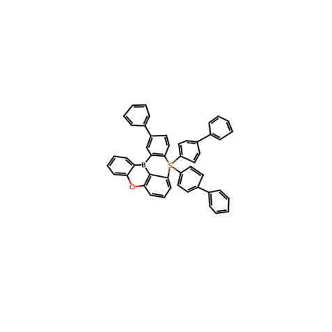 c1ccc(-c2ccc(S3(c4ccc(-c5ccccc5)cc4)c4ccc(-c5ccccc5)cc4B4c5ccccc5Oc5cccc3c54)cc2)cc1